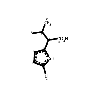 CC(C(C(=O)O)c1ccc(Cl)s1)C(F)(F)F